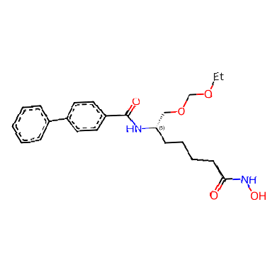 CCOCOC[C@H](CCCCC(=O)NO)NC(=O)c1ccc(-c2ccccc2)cc1